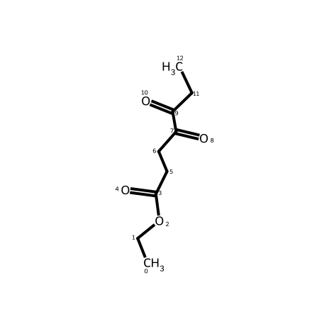 CCOC(=O)CCC(=O)C(=O)CC